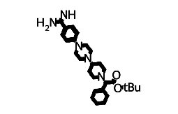 CC(C)(C)OC(=O)C(C1=CCCCC1)N1CCC(N2CCN(c3ccc(C(=N)N)cc3)CC2)CC1